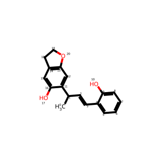 CC(C=Cc1ccccc1O)c1cc2c(cc1O)CCO2